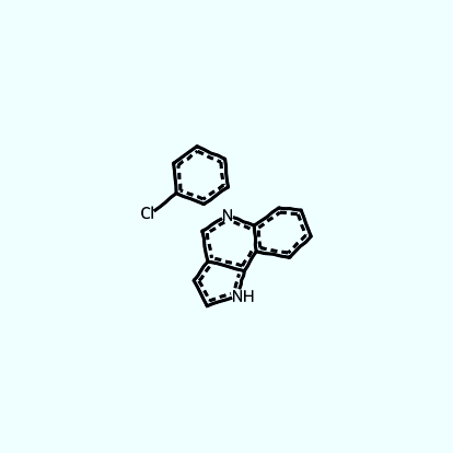 Clc1ccccc1.c1ccc2c(c1)ncc1cc[nH]c12